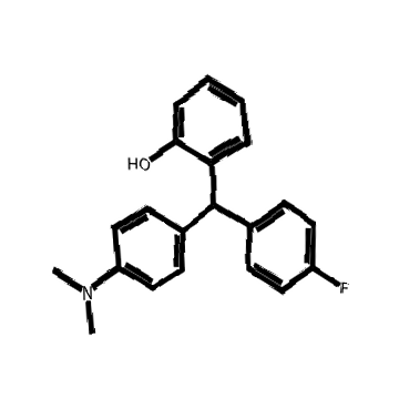 CN(C)c1ccc(C(c2ccc(F)cc2)c2ccccc2O)cc1